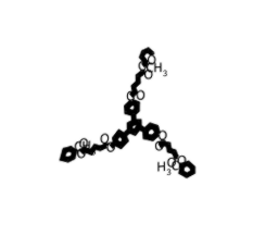 CC1(OC(=O)CCCC(=O)Oc2ccc(-c3cc(-c4ccc(OC(=O)CCCC(=O)OC5(C)CCCCC5)cc4)cc(-c4ccc(OC(=O)CCCC(=O)OC5(C)CCCCO5)cc4)c3)cc2)CCCCC1